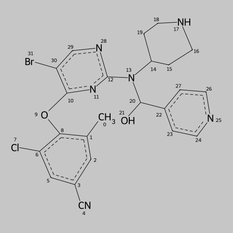 Cc1cc(C#N)cc(Cl)c1Oc1nc(N(C2CCNCC2)C(O)c2ccncc2)ncc1Br